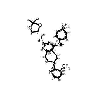 CC1(C)OC[C@@H](COc2nc3c(c(Nc4ccc(C(F)(F)F)cc4)n2)CCN(c2ncccc2C(F)(F)F)CC3)O1